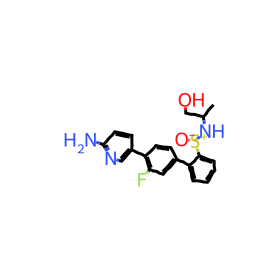 CC(CO)N[S+]([O-])c1ccccc1-c1ccc(-c2ccc(N)nc2)c(F)c1